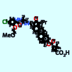 COCCOc1cc(Cl)ccc1C(=O)NC(C)(C)CNCC[C@@]12CC[C@]3(C)[C@H](CC[C@@H]4[C@@]5(C)CC[C@H](OC(=O)[C@H]6C[C@@H](C(=O)O)C6(C)C)C(C)(C)[C@@H]5CC[C@]43C)C1=C(C(C)C)C(=O)C2